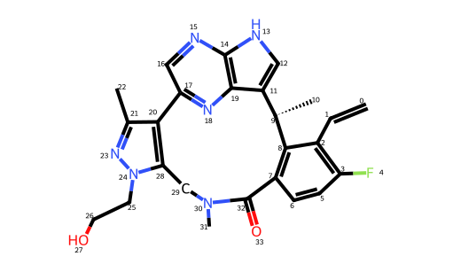 C=Cc1c(F)ccc2c1[C@@H](C)c1c[nH]c3ncc(nc13)-c1c(C)nn(CCO)c1CN(C)C2=O